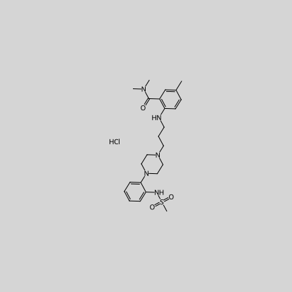 Cc1ccc(NCCCN2CCN(c3ccccc3NS(C)(=O)=O)CC2)c(C(=O)N(C)C)c1.Cl